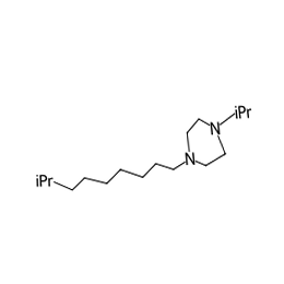 CC(C)CCCCCCCN1CCN(C(C)C)CC1